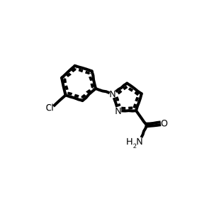 NC(=O)c1ccn(-c2cccc(Cl)c2)n1